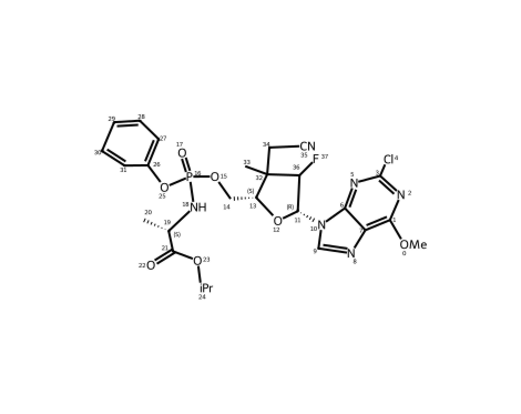 COc1nc(Cl)nc2c1ncn2[C@@H]1O[C@H](COP(=O)(N[C@@H](C)C(=O)OC(C)C)Oc2ccccc2)C(C)(CC#N)C1F